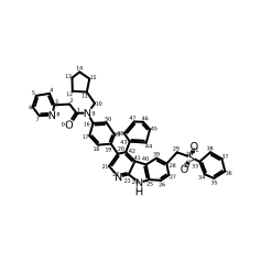 O=C(Cc1ccccn1)N(CC1CCCC1)c1ccc(-c2cnc3[nH]c4ccc(CS(=O)(=O)c5ccccc5)cc4c3c2-c2ccccc2)cc1